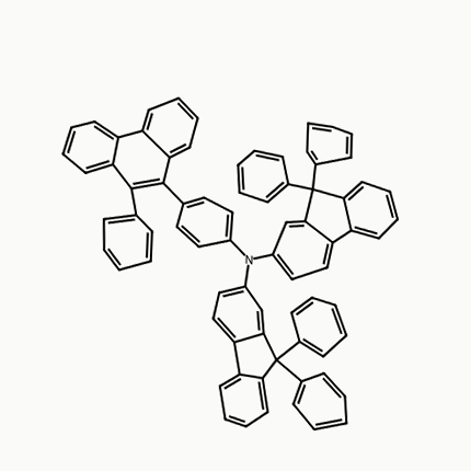 c1ccc(-c2c(-c3ccc(N(c4ccc5c(c4)C(c4ccccc4)(c4ccccc4)c4ccccc4-5)c4ccc5c(c4)C(c4ccccc4)(c4ccccc4)c4ccccc4-5)cc3)c3ccccc3c3ccccc23)cc1